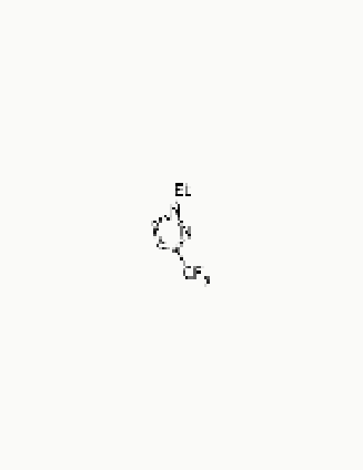 CCn1ccc(C(F)(F)F)n1